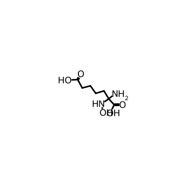 NC(CCCCC(=O)O)(NO)C(=O)O